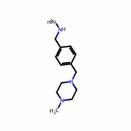 CCCCNCc1ccc(CN2CCN(C)CC2)cc1